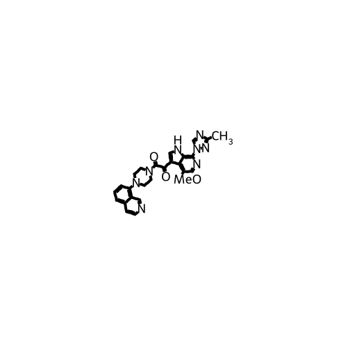 COc1cnc(-n2cnc(C)n2)c2[nH]cc(C(=O)C(=O)N3CCN(c4cccc5ccncc45)CC3)c12